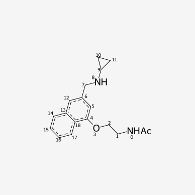 CC(=O)NCCOc1cc(CNC2CC2)cc2ccccc12